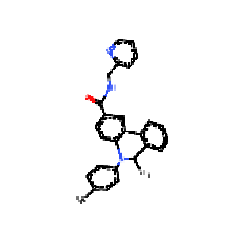 CC1c2ccccc2-c2cc(C(=O)NCc3ccccn3)ccc2N1c1ccc(C(F)(F)F)cc1